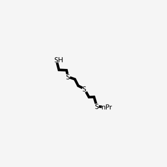 CCCSCCSCCSCCS